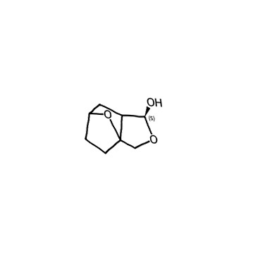 O[C@H]1OCC23CCC(CC12)O3